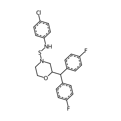 Fc1ccc(C(c2ccc(F)cc2)C2CN(SNc3ccc(Cl)cc3)CCO2)cc1